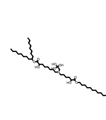 CCCCCCCCCCCOC(=O)C(O)CCCCN(CCCCCCC(O)C(=O)OC(CCCCCCCC)CCCCCCCC)CC(O)(O)O